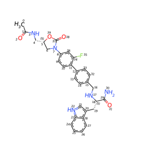 CC(=O)NC[C@H]1CN(c2ccc(-c3ccc(CN[C@@H](Cc4c[nH]c5ccccc45)C(N)=O)cc3)c(F)c2)C(=O)O1